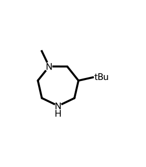 CN1CCNCC(C(C)(C)C)C1